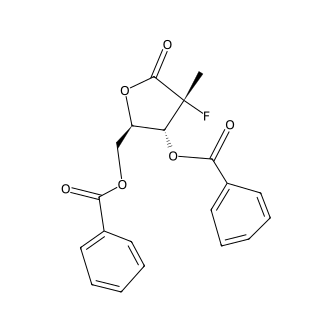 C[C@]1(F)C(=O)O[C@H](COC(=O)c2ccccc2)[C@H]1OC(=O)c1ccccc1